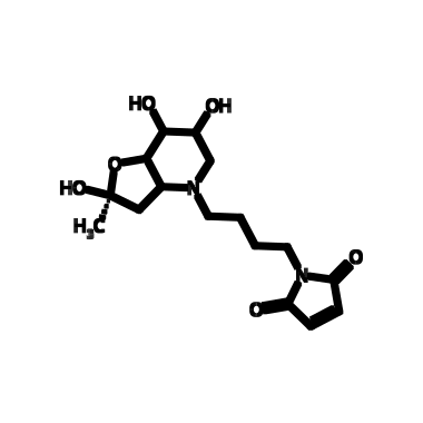 C[C@@]1(O)CC2C(O1)C(O)C(O)CN2CCCCN1C(=O)C=CC1=O